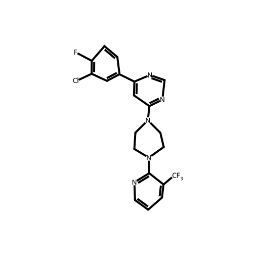 Fc1ccc(-c2cc(N3CCN(c4ncccc4C(F)(F)F)CC3)ncn2)cc1Cl